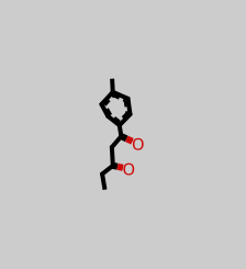 CCC(=O)CC(=O)c1ccc(C)cc1